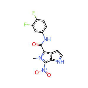 Cn1c(C(=O)Nc2ccc(F)c(F)c2)c2cc[nH]c2c1[N+](=O)[O-]